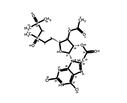 CC(=O)OC1[C@@H](CCP(C)(=O)CP(C)(C)=O)O[C@@H](n2cnc3c(Cl)nc(Cl)nc32)[C@H]1OC(C)=O